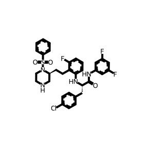 O=C(Nc1cc(F)cc(F)c1)[C@H](Cc1ccc(Cl)cc1)Nc1cccc(F)c1CC[C@H]1CNCCN1S(=O)(=O)c1ccccc1